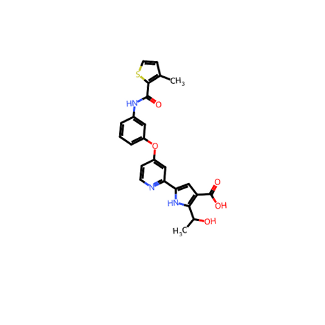 Cc1ccsc1C(=O)Nc1cccc(Oc2ccnc(-c3cc(C(=O)O)c(C(C)O)[nH]3)c2)c1